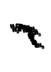 Cc1ccc(OCc2noc(C3(C)CC(C)(NC(=O)COc4ccc(C)c(C)c4)C3)n2)cc1